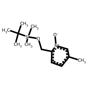 Cc1ccc(CO[Si](C)(C)C(C)(C)C)[n+]([O-])c1